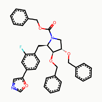 O=C(OCc1ccccc1)N1C[C@H](OCc2ccccc2)[C@@H](OCc2ccccc2)[C@H]1Cc1ccc(-c2cnco2)cc1F